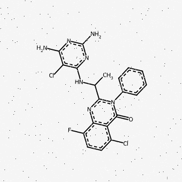 CC(Nc1nc(N)nc(N)c1Cl)c1nc2c(F)ccc(Cl)c2c(=O)n1-c1ccccc1